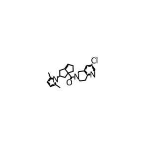 Cc1ccc(C)n1C1CC2=CCCC2(C(=O)N2CCc3ncc(Cl)cc3C2)C1